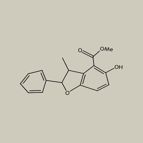 COC(=O)c1c(O)ccc2c1C(C)C(c1ccccc1)O2